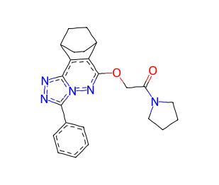 O=C(COc1nn2c(-c3ccccc3)nnc2c2c1C1CCC2CC1)N1CCCC1